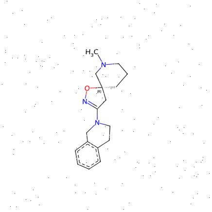 CN1CCC[C@@]2(CC(N3CCc4ccccc4C3)=NO2)C1